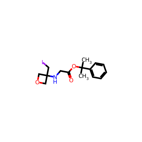 CC(C)(OC(=O)CNC1(CI)COC1)c1ccccc1